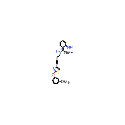 CN/C(NCCC#Cc1csc(Oc2cccc(OC)c2)n1)=C1/C=CC=CC1=N